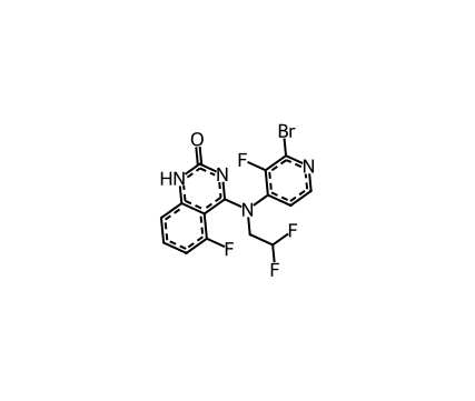 O=c1nc(N(CC(F)F)c2ccnc(Br)c2F)c2c(F)cccc2[nH]1